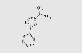 CC(C)n1cnc(-c2ccccc2)c1